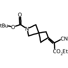 CCOC(=O)C(C#N)=C1CC2(C1)CN(C(=O)OC(C)(C)C)C2